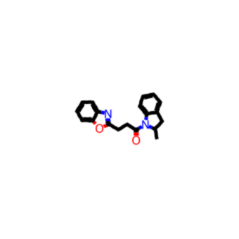 CC1Cc2ccccc2N1C(=O)CCc1nc2ccccc2o1